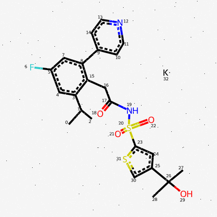 CC(C)c1cc(F)cc(-c2ccncc2)c1CC(=O)NS(=O)(=O)c1cc(C(C)(C)O)cs1.[K]